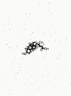 C[C@H](CCC(=O)O)[C@H]1CC[C@H]2[C@@H]3[C@@H](C)C[C@@H]4C[C@H](O)CC[C@]4(C)[C@H]3CC[C@]12C